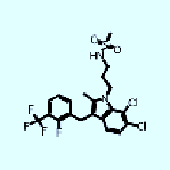 Cc1c(Cc2cccc(C(F)(F)F)c2F)c2ccc(Cl)c(Cl)c2n1CCCNS(C)(=O)=O